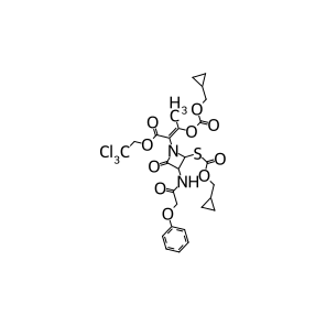 CC(OC(=O)OCC1CC1)=C(C(=O)OCC(Cl)(Cl)Cl)N1C(=O)C(NC(=O)COc2ccccc2)C1SC(=O)OCC1CC1